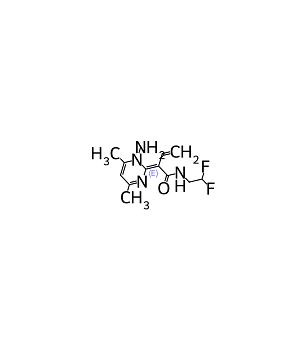 C=C/C(C(=O)NCC(F)F)=C1/N=C(C)C=C(C)N1N